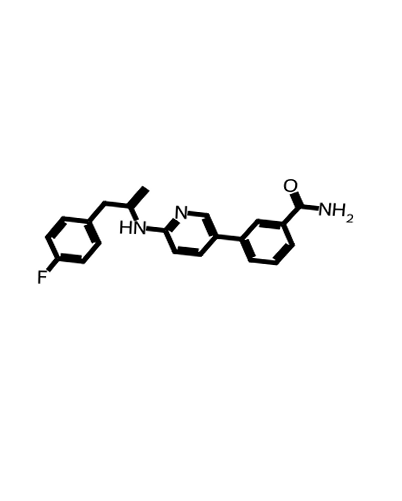 C=C(Cc1ccc(F)cc1)Nc1ccc(-c2cccc(C(N)=O)c2)cn1